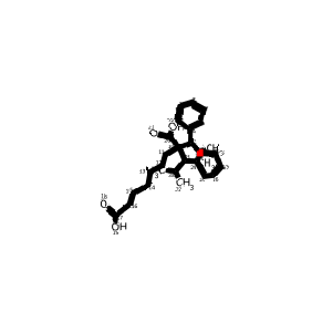 CC(C)C(c1ccccc1)C(CCCCCCC(=O)O)(C(=O)O)C(c1ccccc1)C(C)C